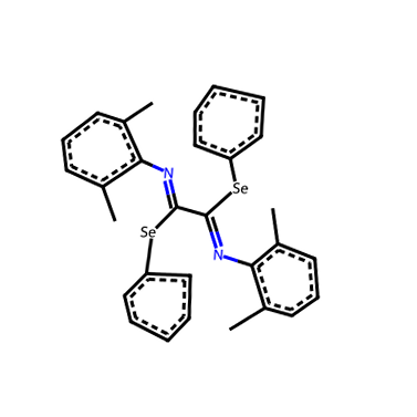 Cc1cccc(C)c1/N=C([Se]c1ccccc1)/C(=N/c1c(C)cccc1C)[Se]c1ccccc1